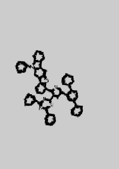 c1ccc(-c2ccc(-c3ccccc3)c(-c3cnc(-c4cccc5c4oc4cc6c7ccccc7n(-c7ccccc7)c6cc45)c(-c4nc(-c5ccccc5)nc(-c5ccccc5)n4)c3)c2)cc1